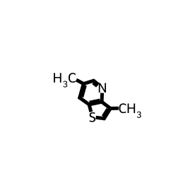 Cc1cnc2c(C)csc2c1